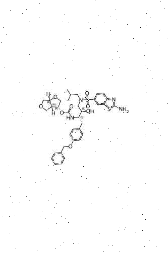 CC(C)CN(C[C@@H](O)[C@H](Cc1ccc(OCc2ccccc2)cc1)NC(=O)O[C@H]1CO[C@H]2COC[C@H]21)S(=O)(=O)c1ccc2nc(N)sc2c1